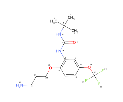 CC(C)(C)NC(=O)Nc1cc(OC(F)(F)F)ccc1OCCCN